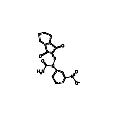 NC(=O)N(N=c1c(=O)c2ccccc2c1=O)c1cccc([N+](=O)[O-])c1